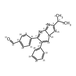 CC(C)c1nc2nc(-c3ccc(C=O)cc3)c(-c3ccccc3)cn2n1